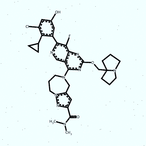 CN(C)C(=O)c1cc2n(n1)CCCN(c1nc(OCC34CCCN3CCC4)nc3c(F)c(-c4cc(O)cc(Cl)c4C4CC4)ncc13)C2